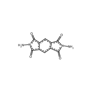 Nn1c(=O)c2cc3c(=O)n(N)c(=O)c3cc2c1=O